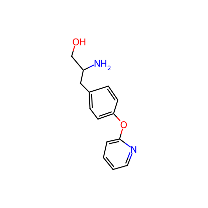 NC(CO)Cc1ccc(Oc2ccccn2)cc1